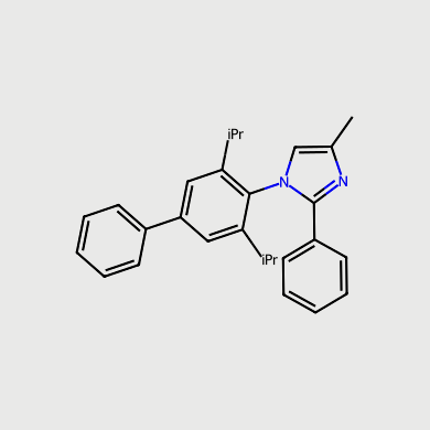 Cc1cn(-c2c(C(C)C)cc(-c3ccccc3)cc2C(C)C)c(-c2ccccc2)n1